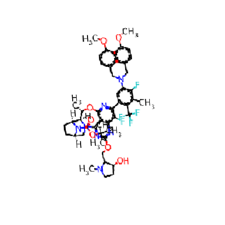 COc1ccc(CN(Cc2ccc(OC)cc2)c2cc(-c3nc4c5c(nc(OC[C@H]6[C@@H](O)CCN6C)nc5c3F)N3C[C@H]5CC[C@@H]([C@H]3[C@H](C)O4)N5C(=O)OC(C)(C)C)c(C(F)(F)F)c(C)c2F)cc1